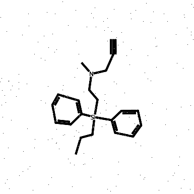 C#CCN(C)CC[Si](CCC)(c1ccccc1)c1ccccc1